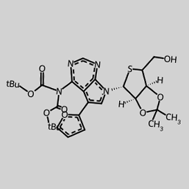 CC(C)(C)OC(=O)N(C(=O)OC(C)(C)C)c1ncnc2c1c(-c1ccco1)cn2[C@@H]1SC(CO)[C@H]2OC(C)(C)O[C@H]21